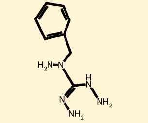 N/N=C(\NN)N(N)Cc1ccccc1